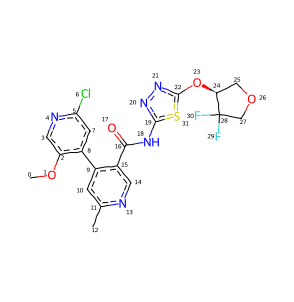 COc1cnc(Cl)cc1-c1cc(C)ncc1C(=O)Nc1nnc(O[C@H]2COCC2(F)F)s1